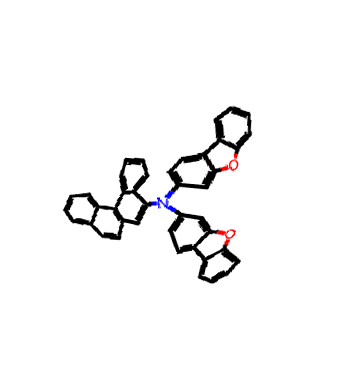 c1ccc2c(c1)ccc1cc(N(c3ccc4c(c3)oc3ccccc34)c3ccc4c(c3)oc3ccccc34)c3ccccc3c12